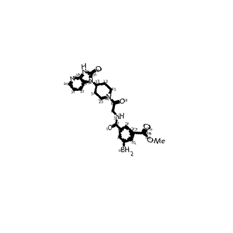 Bc1cc(C(=O)NCC(=O)N2CCC(n3c(=O)[nH]c4ncccc43)CC2)cc(C(=O)OC)c1